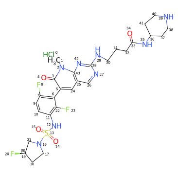 Cl.Cn1c(=O)c(-c2c(F)ccc(NS(=O)(=O)N3CC[C@@H](F)C3)c2F)cc2cnc(NCCCC(=O)NC3CCNCC3)nc21